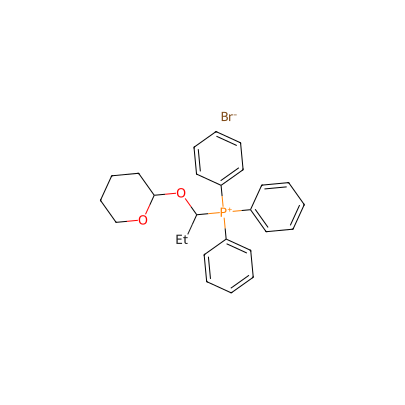 CCC(OC1CCCCO1)[P+](c1ccccc1)(c1ccccc1)c1ccccc1.[Br-]